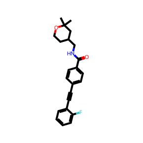 CC1(C)CC(CNC(=O)c2ccc(C#Cc3ccccc3F)cc2)CCO1